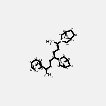 CC(CCC(CCC(C)N1CC2CCC1CO2)N1CC2CC(C1)O2)N1CC2CCC(C1)O2